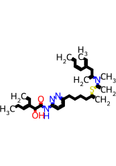 C=C/C=C\C(=C/C)CC(=C)N(C)C(=C)SC(=C)CCCCc1ccc(NC(=O)C(O)/C(C=C)=C/CC)nn1